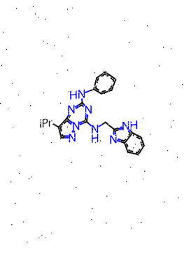 CC(C)c1cnn2c(NCc3nc4ccccc4[nH]3)nc(Nc3ccccc3)nc12